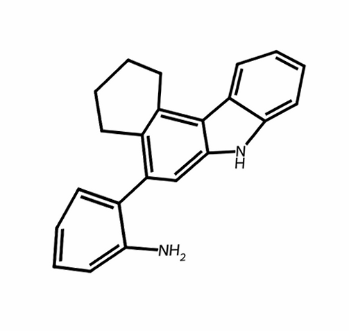 Nc1ccccc1-c1cc2[nH]c3ccccc3c2c2c1CCCC2